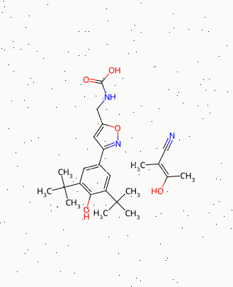 CC(C)(C)c1cc(-c2cc(CNC(=O)O)on2)cc(C(C)(C)C)c1O.CC(O)=C(C)C#N